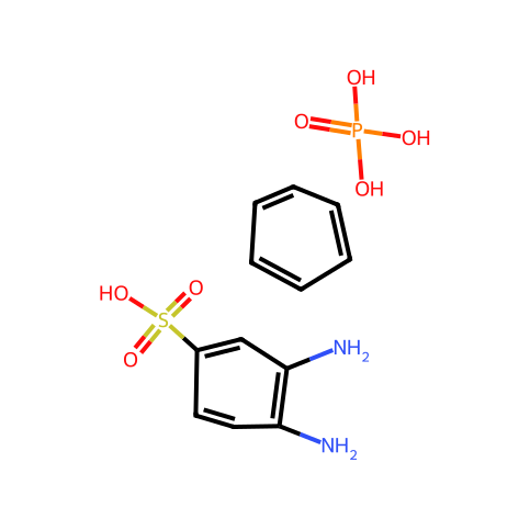 Nc1ccc(S(=O)(=O)O)cc1N.O=P(O)(O)O.c1ccccc1